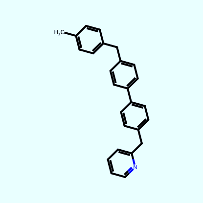 Cc1ccc(Cc2ccc(-c3ccc(Cc4ccccn4)cc3)cc2)cc1